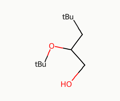 CC(C)(C)CC(CO)OC(C)(C)C